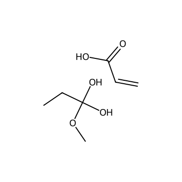 C=CC(=O)O.CCC(O)(O)OC